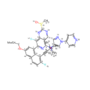 COCOc1cc(-c2nc(N(C)c3cnn(-c4ccncc4)c3)c3cnc([S+](C)[O-])nc3c2F)c2c(C#C[Si](C(C)C)(C(C)C)C(C)C)c(F)ccc2c1